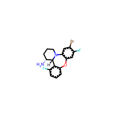 N[C@@H]1CCCN2c3cc(Br)c(F)cc3Oc3cccc(F)c3[C@H]12